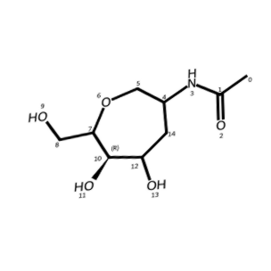 CC(=O)NC1COC(CO)[C@H](O)C(O)C1